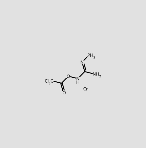 NC(=NP)NOC(=O)C(Cl)(Cl)Cl.[Cr]